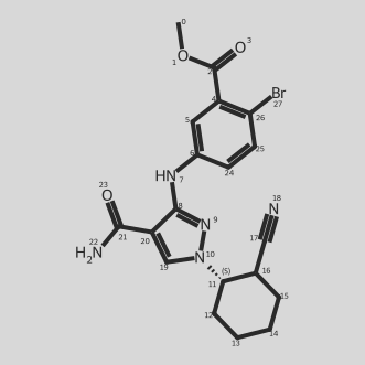 COC(=O)c1cc(Nc2nn([C@H]3CCCCC3C#N)cc2C(N)=O)ccc1Br